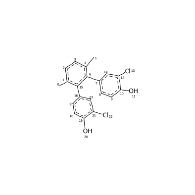 Cc1ccc(C)c(-c2ccc(O)c(Cl)c2)c1-c1ccc(O)c(Cl)c1